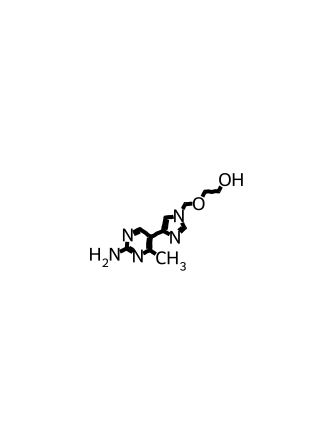 Cc1nc(N)ncc1-c1cn(COCCO)cn1